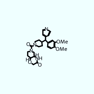 COc1ccc(C(c2ccncc2)C2CCN(C(=O)N3CC[C@@H]4OCC(=O)N[C@@H]4C3)CC2)cc1OC